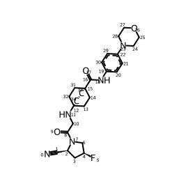 N#C[C@@H]1C[C@H](F)CN1C(=O)CNC12CCC(C(=O)Nc3ccc(N4CCOCC4)cc3)(CC1)CC2